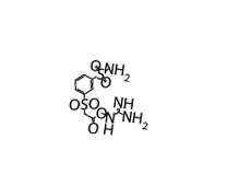 N=C(N)NOC(=O)CS(=O)(=O)c1cccc(S(N)(=O)=O)c1